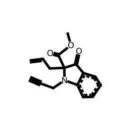 C#CCN1c2ccccc2C(=O)C1(CC=C)C(=O)OC